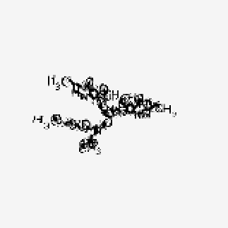 C/C=C1\C[C@H]2C=Nc3cc(OCc4cc(OCCN(CCOCCOCCOC)CCC(=O)OC)cc(COc5cc6c(cc5OC)C(=O)N5C/C(=C/C)C[C@H]5C=N6)n4)c(OC)cc3C(=O)N2C1